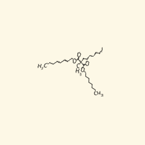 CCCCCCCCOC(=O)C(C)(CCCCCCI)C(=O)OCCCCCCCC